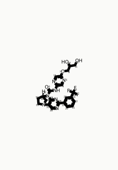 O=C(Nc1cnc(OCC(O)CO)cn1)N1c2nc(-c3cccc(C(F)(F)F)c3)ncc2N2CC[C@H]1C2